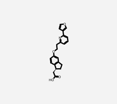 O=C(O)C[C@@H]1CCc2cc(OCCc3cccc(-c4ccoc4)n3)ccc21